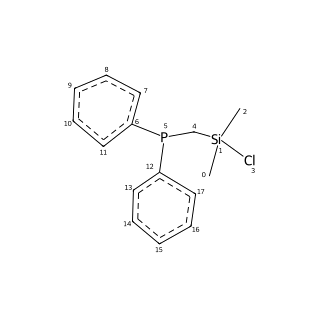 C[Si](C)(Cl)CP(c1ccccc1)c1ccccc1